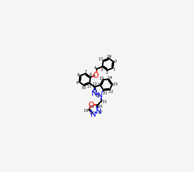 c1ccc(COc2ccccc2-c2nn(Cc3nnco3)c3ccccc23)cc1